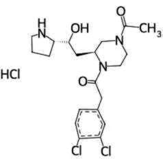 CC(=O)N1CCN(C(=O)Cc2ccc(Cl)c(Cl)c2)[C@@H](CC(O)[C@@H]2CCCN2)C1.Cl